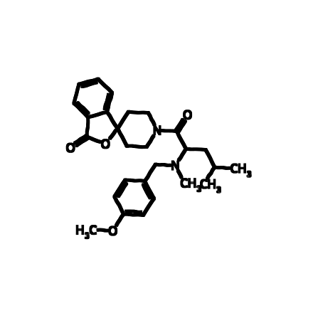 COc1ccc(CN(C)C(CC(C)C)C(=O)N2CCC3(CC2)OC(=O)c2ccccc23)cc1